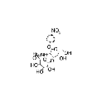 CC(=O)N[C@H]1[C@@H](Oc2ccc([N+](=O)[O-])cc2)O[C@H](CO)[C@H](O)[C@@H]1O[C@@H]1O[C@H](CO)[C@H](O)[C@H](O)[C@H]1O